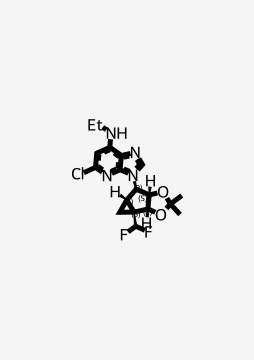 CCNc1cc(Cl)nc2c1ncn2[C@H]1[C@@H]2OC(C)(C)O[C@@H]2[C@]2(C(F)F)C[C@H]12